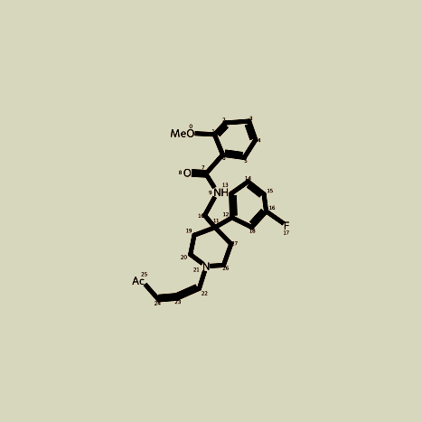 COc1ccccc1C(=O)NCC1(c2cccc(F)c2)CCN(C=C=CC(C)=O)CC1